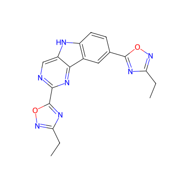 CCc1noc(-c2ccc3[nH]c4cnc(-c5nc(CC)no5)nc4c3c2)n1